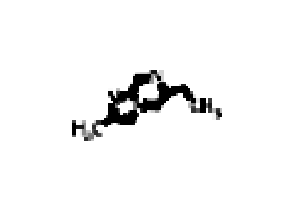 CCc1cn2cc(C)nc2cn1